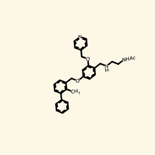 CC(=O)NCCNCc1ccc(OCc2cccc(-c3ccccc3)c2C)cc1OCc1ccncc1